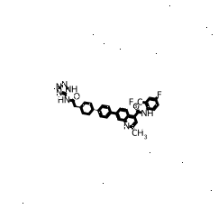 Cc1cc(C(=O)Nc2ccc(F)cc2C(F)(F)F)c2ccc(-c3ccc([C@H]4CC[C@H](CC(=O)Nc5nnn[nH]5)CC4)cc3)cc2n1